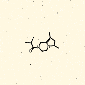 CC1=C2CN(C(=O)C(C)C)CCN2C(C)C1